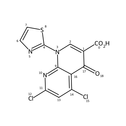 O=C(O)c1cn(-c2nccs2)c2nc(Cl)cc(Cl)c2c1=O